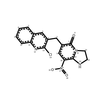 O=c1c(Cc2cc3ccccc3nc2Cl)cc([N+](=O)[O-])c2n1CCN2